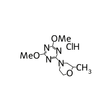 COc1nc(OC)nc(N2CCOC(C)C2)n1.Cl